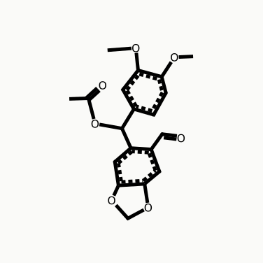 COc1ccc(C(OC(C)=O)c2cc3c(cc2C=O)OCO3)cc1OC